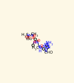 C[C@@H](CCCNC(=O)c1ccc(OC(=O)N(C)CCN(C)C(=O)OC(C)(C)C)cc1OCc1ccccc1)NC(=O)c1ccc(N(C=O)Cc2cnc3nc(N)nc(N)c3n2)cc1